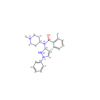 Cc1cccc(F)c1C(=O)N(C1CCN(C)CC1)C1C=CN(c2ccccc2)N1